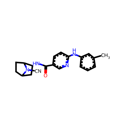 Cc1cccc(Nc2ccc(C(=O)NC3CC4CCC3N4C#N)cn2)c1